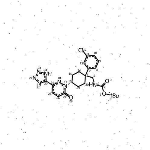 CC(C)(C)OC(=O)NC[C@]1(c2cccc(Cl)c2)CC[C@@H](n2nc(-c3nnn[nH]3)ccc2=O)CC1